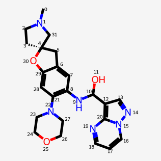 CN1CC[C@@]2(Cc3cc(NC(O)c4cnn5cccnc45)c(N4CCOCC4)cc3O2)C1